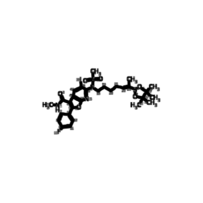 CNC(=O)c1c(-c2ccc(F)cc2)oc2nc(N(CCCC/C=C(\C)B3OC(C)(C)C(C)(C)O3)S(C)(=O)=O)c(I)cc12